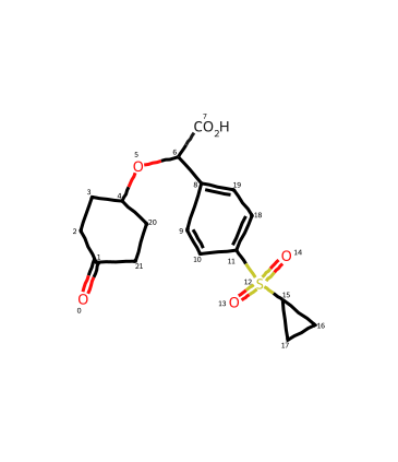 O=C1CCC(OC(C(=O)O)c2ccc(S(=O)(=O)C3CC3)cc2)CC1